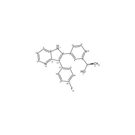 C[C@@H](O)c1cc(-c2[nH]c3cccnc3c2-c2ccc(F)cc2)ccn1